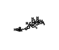 CCC(CC)(c1ccc(OCCCCC(=O)NO)cc1)c1ccc(OCC(O)C(C)(C)C)c(C)c1